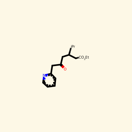 CCOC(=O)CC(CC(=O)Cc1ccccn1)C(C)C